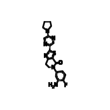 Nc1cc(N2CCc3nc(-c4cnc(N5CCCC5)cn4)sc3C2=O)ccc1F